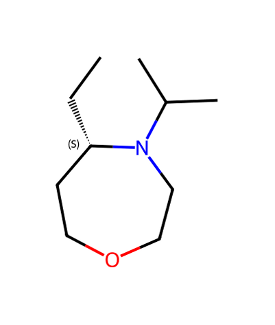 CC[C@H]1CCOCCN1C(C)C